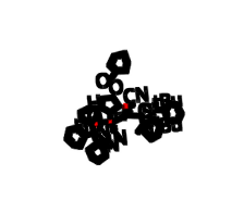 CCCCC(C)[C@H](C=C[C@@H]1[C@H]2CC(O)([N+]3(C(c4ccccc4)(c4ccccc4)c4ccccc4)N=NN=C3CCCCC#N)O[C@H]2C[C@H]1OC(=O)c1ccccc1)O[Si](c1ccccc1)(c1ccccc1)C(C)(C)C